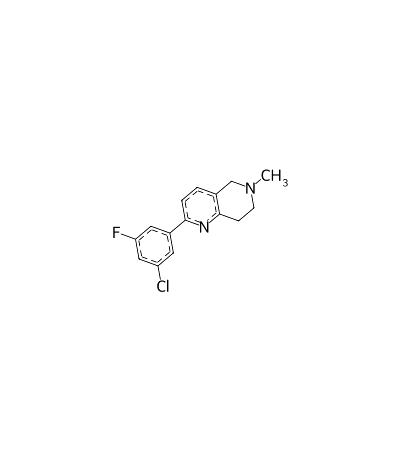 CN1CCc2nc(-c3cc(F)cc(Cl)c3)ccc2C1